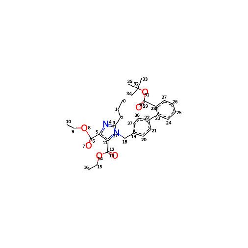 CCCc1nc(C(=O)OCC)c(C(=O)OCC)n1Cc1ccc(-c2ccccc2C(=O)OC(C)(C)C)cc1